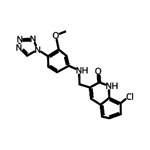 COc1cc(NCc2cc3cccc(Cl)c3[nH]c2=O)ccc1-n1cnnn1